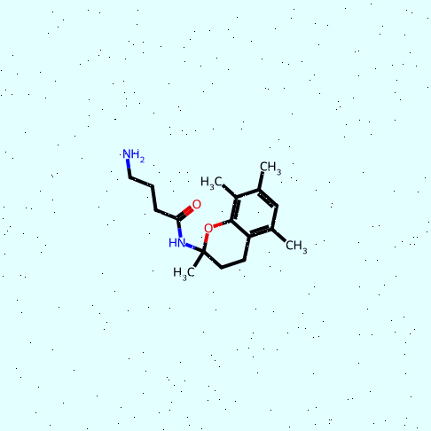 Cc1cc(C)c2c(c1C)OC(C)(NC(=O)CCCN)CC2